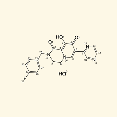 Cl.O=C1c2c(O)c(=O)c(-c3cnccn3)cn2CCN1Cc1ccc(F)cc1